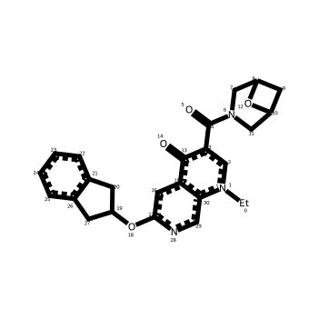 CCn1cc(C(=O)N2CC3CC(C2)O3)c(=O)c2cc(OC3Cc4ccccc4C3)ncc21